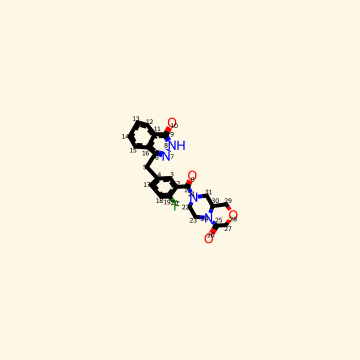 O=C(c1cc(Cc2n[nH]c(=O)c3ccccc23)ccc1F)N1CCN2C(=O)COCC2C1